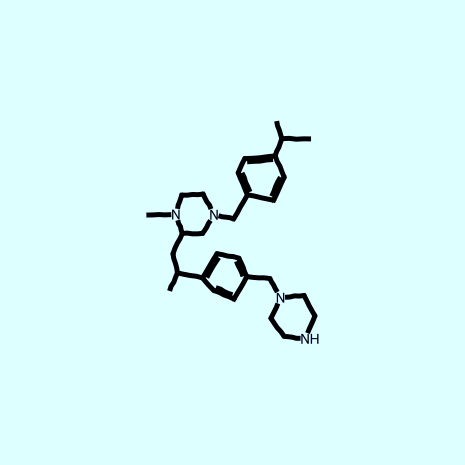 CC(C)c1ccc(CN2CCN(C)C(CC(C)c3ccc(CN4CCNCC4)cc3)C2)cc1